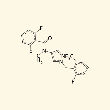 [CH2]N(C(=O)c1c(F)cccc1F)c1cnn(Cc2c(F)cccc2C(F)(F)F)c1